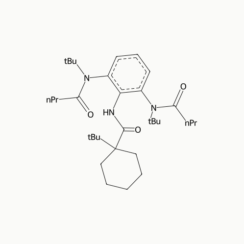 CCCC(=O)N(c1cccc(N(C(=O)CCC)C(C)(C)C)c1NC(=O)C1(C(C)(C)C)CCCCC1)C(C)(C)C